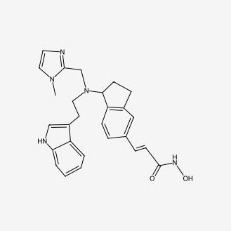 Cn1ccnc1CN(CCc1c[nH]c2ccccc12)C1CCc2cc(/C=C/C(=O)NO)ccc21